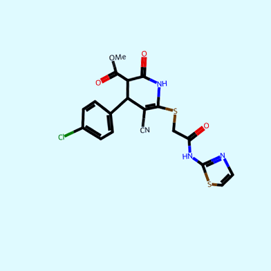 COC(=O)C1C(=O)NC(SCC(=O)Nc2nccs2)=C(C#N)C1c1ccc(Cl)cc1